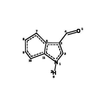 [2H]n1cc(C=O)c2ccccc21